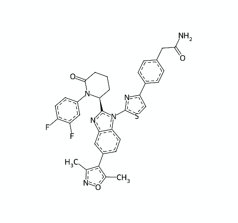 Cc1noc(C)c1-c1ccc2c(c1)nc([C@@H]1CCCC(=O)N1c1ccc(F)c(F)c1)n2-c1nc(-c2ccc(CC(N)=O)cc2)cs1